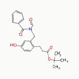 CC(C)(C)OC(=O)CCc1ccc(O)cc1CN(C=O)C(=O)c1ccccc1